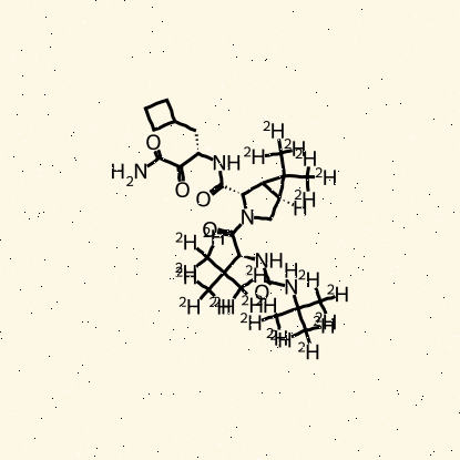 [2H]C([2H])([2H])C1(C([2H])([2H])[2H])C2[C@@H](C(=O)N[C@@H](CC3CCC3)C(=O)C(N)=O)N(C(=O)[C@@H](NC(=O)NC(C([2H])([2H])[2H])(C([2H])([2H])[2H])C([2H])([2H])[2H])C(C([2H])([2H])[2H])(C([2H])([2H])[2H])C([2H])([2H])[2H])C[C@@H]21